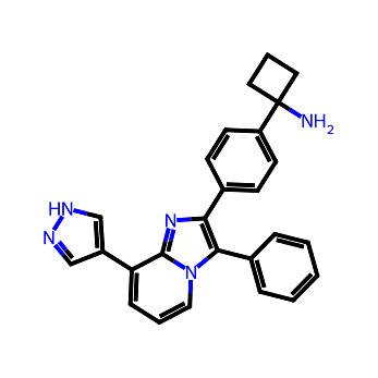 NC1(c2ccc(-c3nc4c(-c5cn[nH]c5)cccn4c3-c3ccccc3)cc2)CCC1